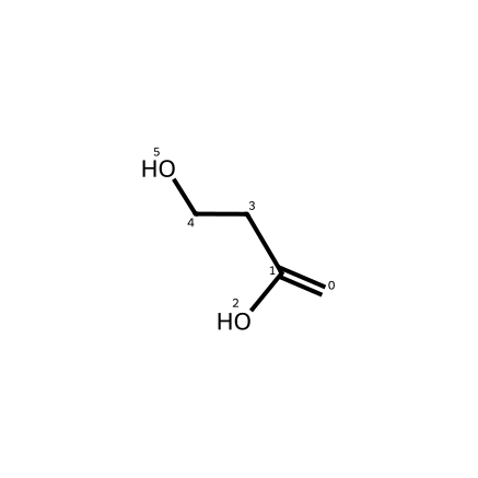 C=C(O)CCO